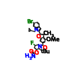 COc1cc(C(=O)N2C[C@H](F)C[C@@H](OC(N)=O)C2C(C)(C)C)cc2oc(-c3cc4ccc(Br)cc4n3CC3CC3)c(C)c12